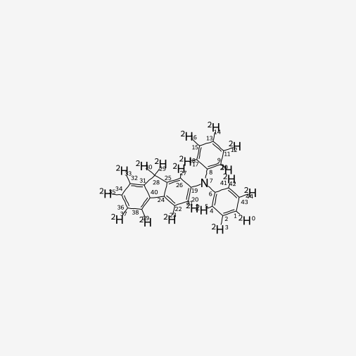 [2H]c1c([2H])c([2H])c(N(c2c([2H])c([2H])c([2H])c([2H])c2[2H])c2c([2H])c([2H])c3c(c2[2H])C([2H])([2H])c2c([2H])c([2H])c([2H])c([2H])c2-3)c([2H])c1[2H]